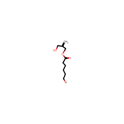 C=C(CO)COC(=O)CCCCCBr